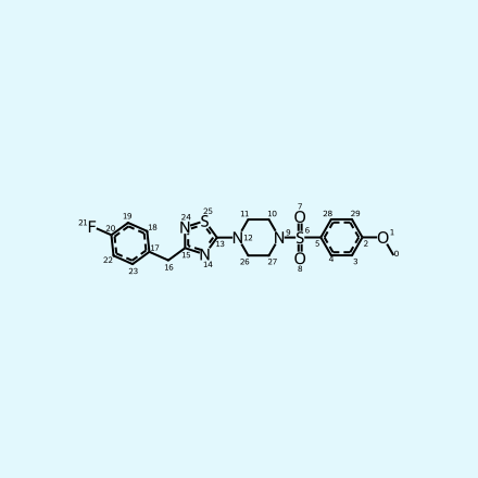 COc1ccc(S(=O)(=O)N2CCN(c3nc(Cc4ccc(F)cc4)ns3)CC2)cc1